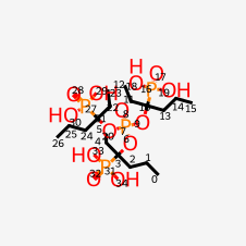 CCCC(CC)(OP(=O)(OC(CC)(CCC)P(=O)(O)O)OC(CC)(CCC)P(=O)(O)O)P(=O)(O)O